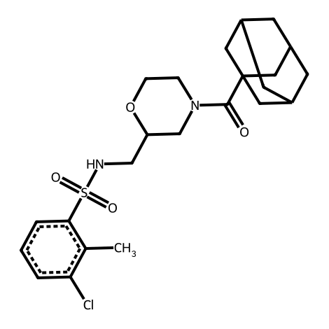 Cc1c(Cl)cccc1S(=O)(=O)NCC1CN(C(=O)C23CC4CC(CC(C4)C2)C3)CCO1